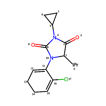 CC(C)C1C(=O)N(C2CC2)C(=O)N1C1=CCCC=C1Cl